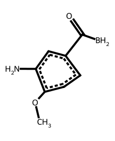 BC(=O)c1ccc(OC)c(N)c1